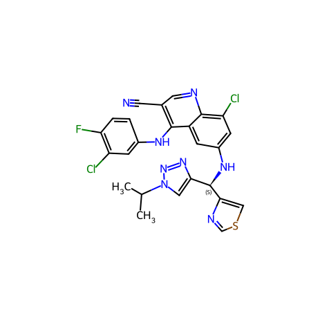 CC(C)n1cc([C@@H](Nc2cc(Cl)c3ncc(C#N)c(Nc4ccc(F)c(Cl)c4)c3c2)c2cscn2)nn1